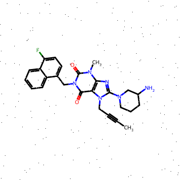 CC#CCn1c(N2CCCC(N)C2)nc2c1c(=O)n(Cc1ccc(F)c3ccccc13)c(=O)n2C